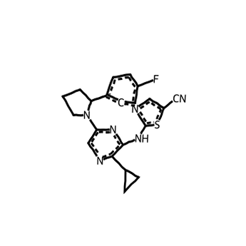 N#Cc1cnc(Nc2nc(N3CCCC3c3ccc(F)cc3)cnc2C2CC2)s1